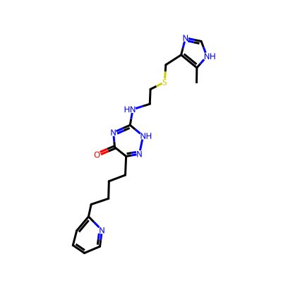 Cc1[nH]cnc1CSCCNc1nc(=O)c(CCCCc2ccccn2)n[nH]1